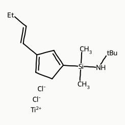 CCC=CC1=CCC([Si](C)(C)NC(C)(C)C)=C1.[Cl-].[Cl-].[Ti+2]